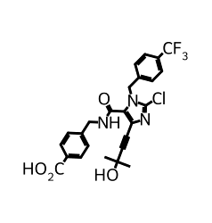 CC(C)(O)C#Cc1nc(Cl)n(Cc2ccc(C(F)(F)F)cc2)c1C(=O)NCc1ccc(C(=O)O)cc1